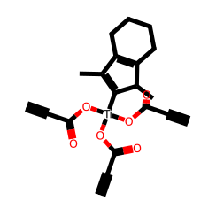 C#CC(=O)[O][Ti]([O]C(=O)C#C)([O]C(=O)C#C)[C]1=C(C)C2=C(CCCC2)C1C